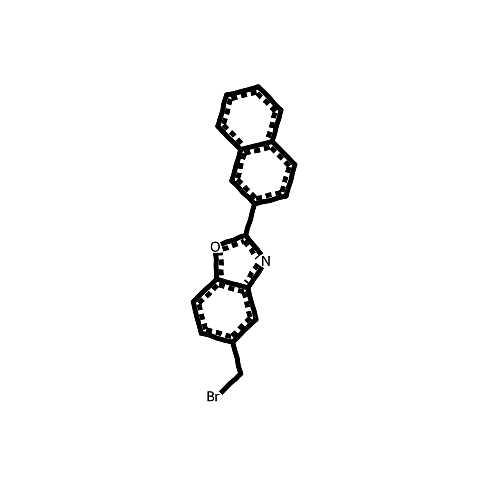 BrCc1ccc2oc(-c3ccc4ccccc4c3)nc2c1